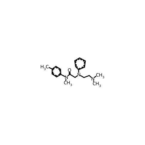 Cc1ccc(N(C)C(=O)CN(CCN(C)C)c2ccccc2)cc1